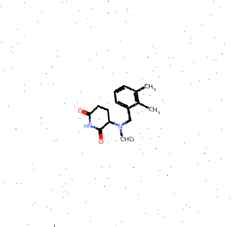 Cc1cccc(CN(C=O)C2CCC(=O)NC2=O)c1C